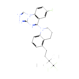 CC(C)(CCc1cccc2c1CCCN2c1nc2nncn2c2ccc(F)cc12)C(F)(F)F